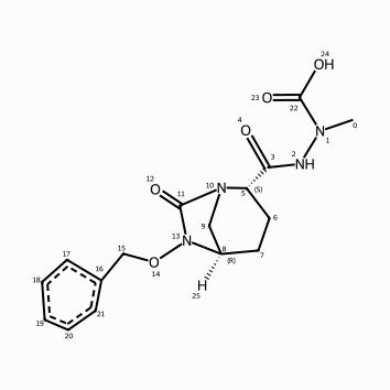 CN(NC(=O)[C@@H]1CC[C@@H]2CN1C(=O)N2OCc1ccccc1)C(=O)O